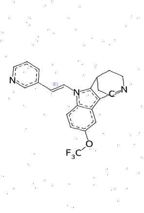 FC(F)(F)Oc1ccc2c(c1)c1c(n2/C=C/c2cccnc2)C2CCN(CC2)C1